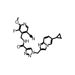 COc1ncc(C#N)c(CNC(=O)c2cn(Cc3cn4cc(C5CC5)ccc4n3)nn2)c1F